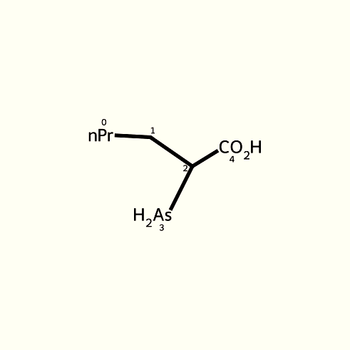 CCCCC([AsH2])C(=O)O